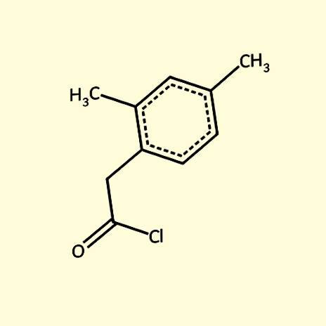 Cc1ccc(CC(=O)Cl)c(C)c1